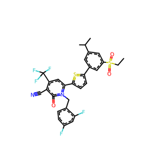 CCS(=O)(=O)c1cc(-c2ccc(-c3cc(C(F)(F)F)c(C#N)c(=O)n3Cc3ccc(F)cc3F)s2)cc(C(C)C)c1